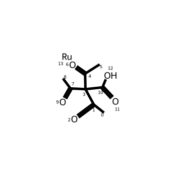 CC(=O)C(C(C)=O)(C(C)=O)C(=O)O.[Ru]